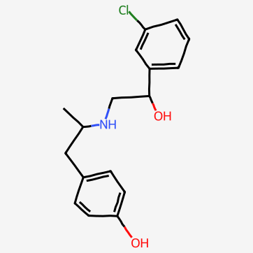 CC(Cc1ccc(O)cc1)NCC(O)c1cccc(Cl)c1